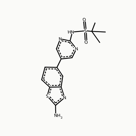 CC(C)(C)S(=O)(=O)Nc1ncc(-c2ccc3sc(N)nc3c2)cn1